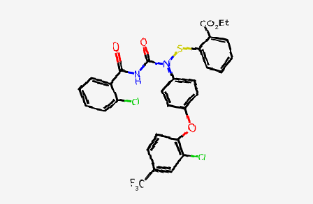 CCOC(=O)c1ccccc1SN(C(=O)NC(=O)c1ccccc1Cl)c1ccc(Oc2ccc(C(F)(F)F)cc2Cl)cc1